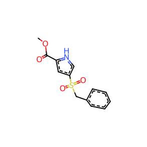 COC(=O)c1cc(S(=O)(=O)Cc2ccccc2)c[nH]1